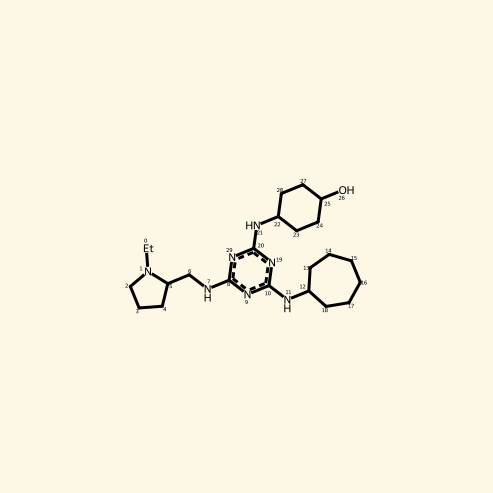 CCN1CCCC1CNc1nc(NC2CCCCCC2)nc(NC2CCC(O)CC2)n1